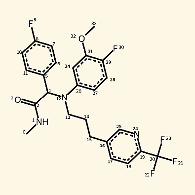 CNC(=O)C(c1ccc(F)cc1)N(CCCc1ccc(C(F)(F)F)nc1)c1ccc(F)c(OC)c1